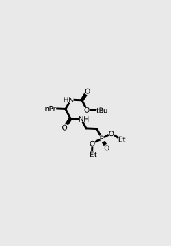 CCCC(NC(=O)OC(C)(C)C)C(=O)NCCP(=O)(OCC)OCC